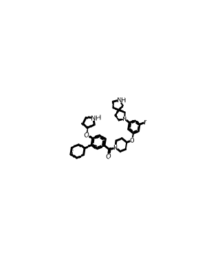 O=C(c1ccc(O[C@H]2CCNC2)c(C2CCCCC2)c1)N1CCC(Oc2cc(F)cc(N3CCC4(CCNC4)C3)c2)CC1